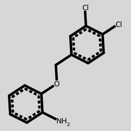 Nc1ccccc1OCc1ccc(Cl)c(Cl)c1